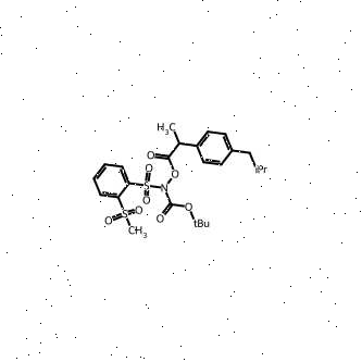 CC(C)Cc1ccc(C(C)C(=O)ON(C(=O)OC(C)(C)C)S(=O)(=O)c2ccccc2S(C)(=O)=O)cc1